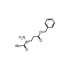 CC(C)(C)C(=O)[C@H](N)CCC(=O)OCc1ccccc1